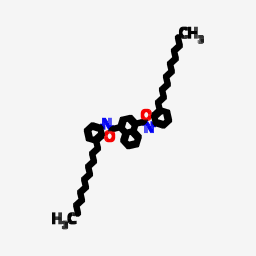 CCCCCCCCCCCCc1cccc2nc(-c3ccc(-c4nc5cccc(CCCCCCCCCCCC)c5o4)c4ccccc34)oc12